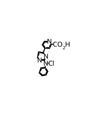 O=C(O)c1cc(-c2ccnc(N(Cl)c3ccccc3)n2)ccn1